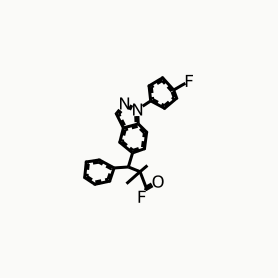 CC(C)(C(=O)F)C(c1ccccc1)c1ccc2c(cnn2-c2ccc(F)cc2)c1